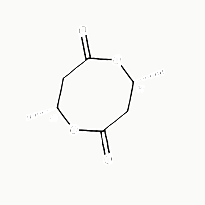 C[C@@H]1CC(=O)O[C@H](C)CC(=O)O1